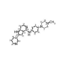 CN1CCN(c2ccc(Nc3nccc4[nH]c(-c5cccnc5)cc34)cc2)CC1